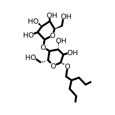 CCCC(CCC)CO[C@@H]1O[C@H](CO)C(OC2O[C@H](CO)C(O)[C@H](O)C2O)[C@H](O)C1O